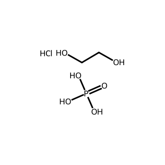 Cl.O=P(O)(O)O.OCCO